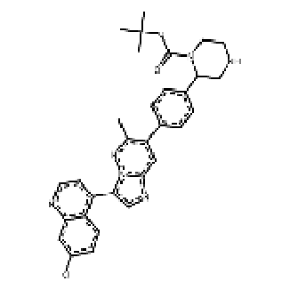 Cc1nn2c(-c3ccnc4cc(Cl)ccc34)cnc2cc1-c1ccc(C2CNCCN2C(=O)OC(C)(C)C)cc1